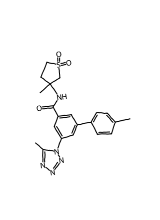 Cc1ccc(-c2cc(C(=O)NC3(C)CCS(=O)(=O)C3)cc(-n3nnnc3C)c2)cc1